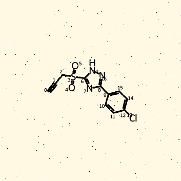 C#CCS(=O)(=O)c1nc(-c2ccc(Cl)cc2)n[nH]1